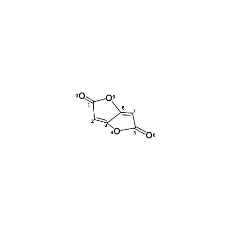 O=C1C=C2OC(=O)C=C2O1